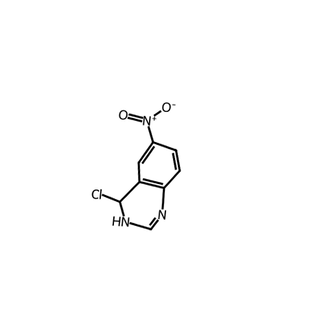 O=[N+]([O-])c1ccc2c(c1)C(Cl)NC=N2